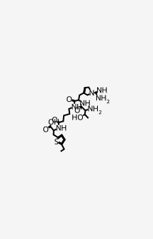 CCc1ccc(CC(NC(=O)CCCCNC(=O)C(CC2=CCN(C(=N)N)C2)NC(=O)C(N)C(C)O)C(=O)O)s1